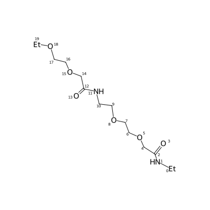 CCNC(=O)COCCOCCNC(=O)COCCOCC